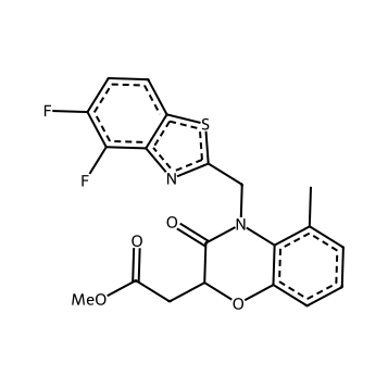 COC(=O)CC1Oc2cccc(C)c2N(Cc2nc3c(F)c(F)ccc3s2)C1=O